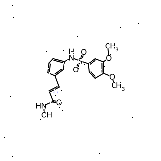 COc1ccc(S(=O)(=O)Nc2cccc(/C=C/C(=O)NO)c2)cc1OC